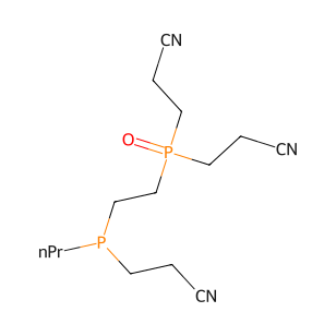 CCCP(CCC#N)CCP(=O)(CCC#N)CCC#N